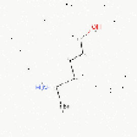 CCCCC(N)CCCCO